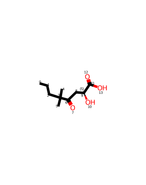 CCCC(C)(C)C(=O)C[C@H](O)C(=O)O